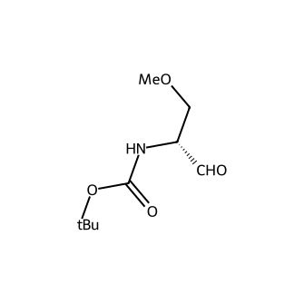 COC[C@H](C=O)NC(=O)OC(C)(C)C